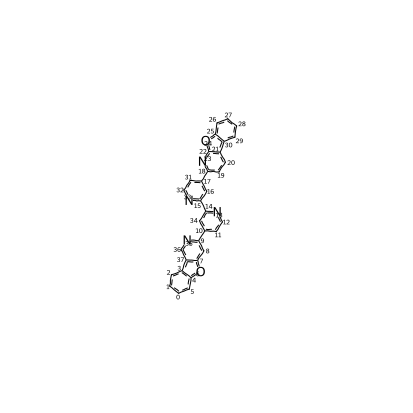 c1ccc2c(c1)oc1cc(-c3ccnc(-c4cc(-c5ccc6c(n5)oc5ccccc56)ccn4)c3)ncc12